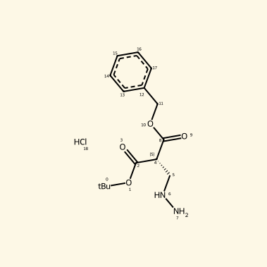 CC(C)(C)OC(=O)[C@@H](CNN)C(=O)OCc1ccccc1.Cl